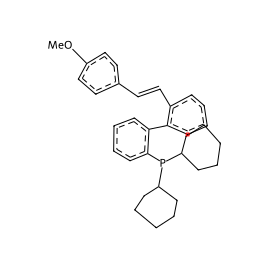 COc1ccc(C=Cc2ccccc2-c2ccccc2P(C2CCCCC2)C2CCCCC2)cc1